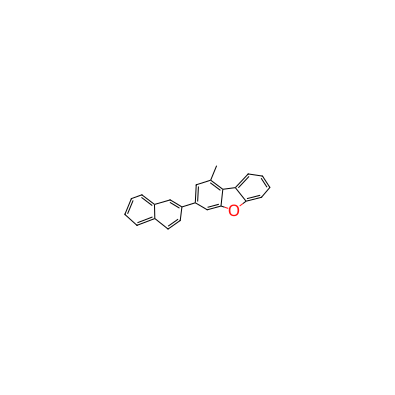 Cc1cc(-c2ccc3ccccc3c2)cc2oc3ccccc3c12